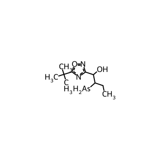 CCC([AsH2])C(O)c1noc(C(C)(C)C)n1